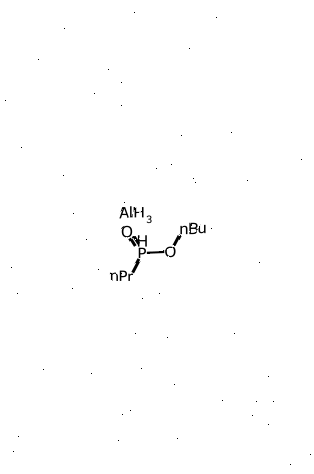 CCCCO[PH](=O)CCC.[AlH3]